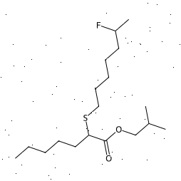 CCCCCC(SCCCCCC(C)F)C(=O)OCC(C)C